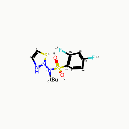 CC(C)(C)N(N1NC=CS1)S(=O)(=O)c1ccc(F)cc1F